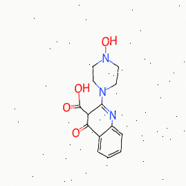 O=C(O)C1C(=O)c2ccccc2N=C1N1CCN(O)CC1